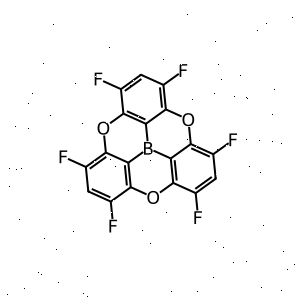 Fc1cc(F)c2c3c1Oc1c(F)cc(F)c4c1B3c1c(c(F)cc(F)c1O4)O2